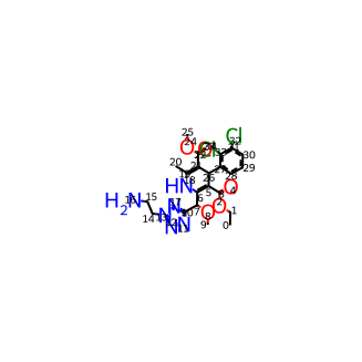 CCOC(=O)C1=C(C(OC)c2nnn(CCN)n2)NC(C)=C(C(=O)OC)C1c1cccc(Cl)c1Cl